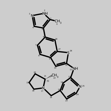 Cc1[nH]ncc1-c1ccc2cc(Nc3cc(CN4CCC[C@@H]4C)ccn3)sc2c1